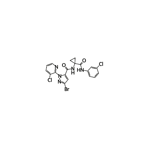 O=C(NC1(C(=O)Nc2cccc(Cl)c2)CC1)c1cc(Br)nn1-c1ncccc1Cl